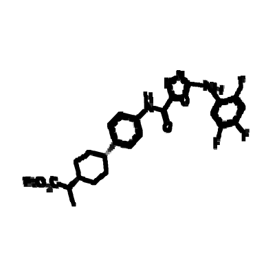 CCOC(=O)C(C)[C@H]1CC[C@H](c2ccc(NC(=O)c3nnc(Nc4cc(F)c(F)cc4F)o3)cc2)CC1